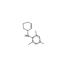 Cc1cc(C)c(NC2C=CCCC2)c(C)c1